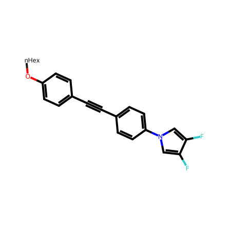 CCCCCCOc1ccc(C#Cc2ccc(-n3cc(F)c(F)c3)cc2)cc1